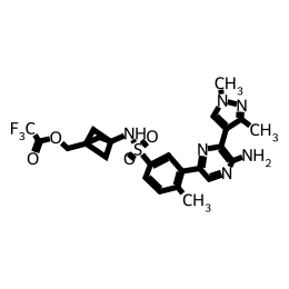 Cc1ccc(S(=O)(=O)NC23CC(COC(=O)C(F)(F)F)(C2)C3)cc1-c1cnc(N)c(-c2cn(C)nc2C)n1